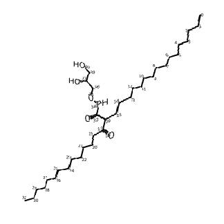 CCCCCCCCCCCCCCCCC(C(=O)CCCCCCCCCCCCC)C(=O)POCC(O)CO